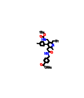 COC(=O)c1ccc(CNC(=O)Cc2c(C)nc(CC(C)C)c(CNC(=O)OC(C)(C)C)c2-c2ccc(C)cc2)cc1